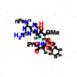 CCCN(C)c1nc(N)nc2c1ncn2[C@](C)(F)[C@H](O)C(COP(=O)(N[C@@H](C)C(=O)OC(C)C)Oc1ccccc1)OC